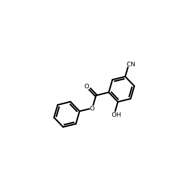 N#Cc1ccc(O)c(C(=O)Oc2ccccc2)c1